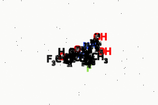 Cc1cc(F)ccc1-c1cc(N2CC(O)CC2CO)ncc1N(C)C(=O)C(C)(C)c1cccc(OC(F)(F)F)c1